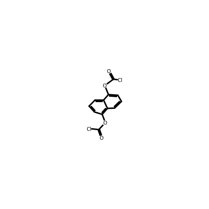 O=C(Cl)Oc1cccc2c(OC(=O)Cl)cccc12